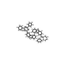 C1=CC2c3ccccc3N(c3ccc4sc5cccc(-c6cccc7oc8ccc(C9=NC(c%10ccccc%10)=NC(c%10ccccc%10)N9)cc8c67)c5c4c3)C2C=C1